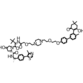 Cc1ccc(-c2ccc(OCCOCCN3CCN(CCOCC(=O)N[C@H](C(=O)N4C[C@H](O)C[C@H]4C(=O)N[C@@H](C)c4ccc(-c5scnc5C)cc4)C(C)(C)C)CC3)cc2)cc1C1=C(O)CC(C)(C)CC1=O